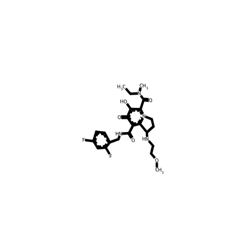 CCN(C)C(=O)c1c(O)c(=O)c(C(=O)NCc2ccc(F)cc2F)c2n1CCC2NCCOC